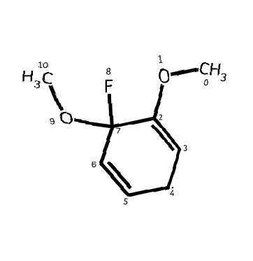 COC1=C[CH]C=CC1(F)OC